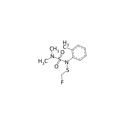 Cc1ccccc1N(SCF)S(=O)(=O)N(C)C